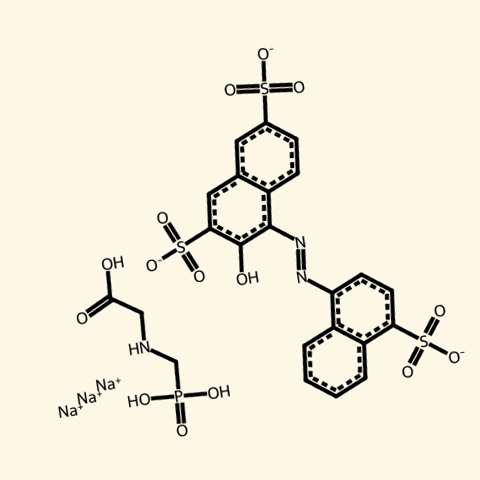 O=C(O)CNCP(=O)(O)O.O=S(=O)([O-])c1ccc2c(/N=N/c3ccc(S(=O)(=O)[O-])c4ccccc34)c(O)c(S(=O)(=O)[O-])cc2c1.[Na+].[Na+].[Na+]